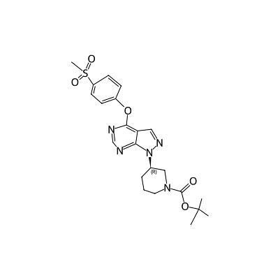 CC(C)(C)OC(=O)N1CCC[C@@H](n2ncc3c(Oc4ccc(S(C)(=O)=O)cc4)ncnc32)C1